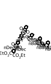 CC(C)CCCCCOC(=O)c1ccccc1C(=O)OCCCCCC(C)C.CC(C)COC(=O)c1ccccc1C(=O)OCC(C)C.CCCCCCCCCCOC(=O)c1ccccc1C(=O)OCCCCCCCCCC.CCCCOC(=O)c1ccccc1C(=O)OCCCC.CCCCOC(=O)c1ccccc1C(=O)OCCCC.CCOC(=O)c1ccccc1C(=O)OCC